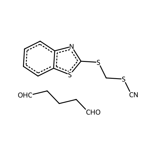 N#CSCSc1nc2ccccc2s1.O=CCCCC=O